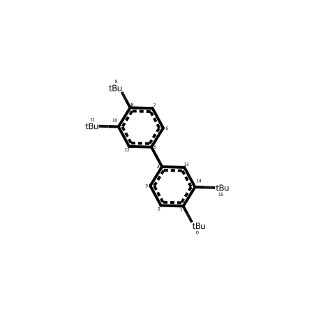 CC(C)(C)c1ccc(-c2ccc(C(C)(C)C)c(C(C)(C)C)c2)cc1C(C)(C)C